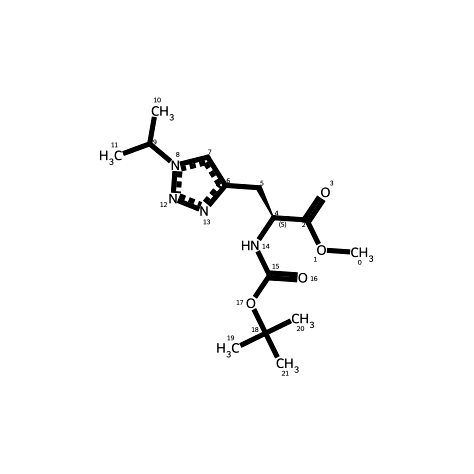 COC(=O)[C@H](Cc1cn(C(C)C)nn1)NC(=O)OC(C)(C)C